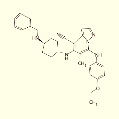 CCOc1ccc(Nc2c(C)c(N[C@H]3CC[C@H](NCc4ccccc4)CC3)c(C#N)c3ccnn23)cc1